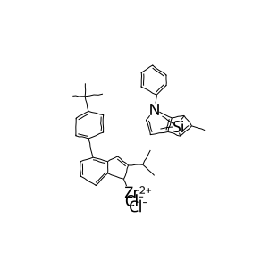 CC(C)C1=Cc2c(-c3ccc(C(C)(C)C)cc3)cccc2[CH]1[Zr+2].CC1=C2c3ccn(-c4ccccc4)c3C1[Si]2(C)C.[Cl-].[Cl-]